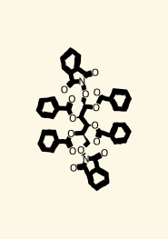 O=C(O[C@@H]([C@H](OC(=O)c1ccccc1)[C@@H](CON1C(=O)c2ccccc2C1=O)OC(=O)c1ccccc1)[C@@H](CON1C(=O)c2ccccc2C1=O)OC(=O)c1ccccc1)c1ccccc1